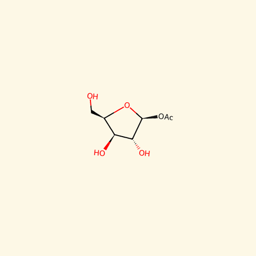 CC(=O)O[C@@H]1O[C@H](CO)[C@H](O)[C@H]1O